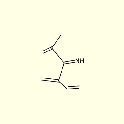 C=CC(=C)C(=N)C(=C)C